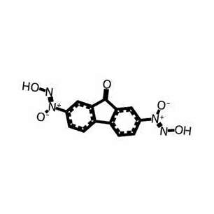 O=C1c2cc([N+]([O-])=NO)ccc2-c2ccc([N+]([O-])=NO)cc21